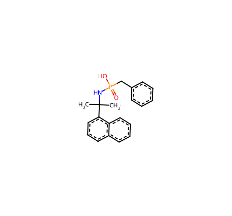 [CH2]C(C)(NP(=O)(O)Cc1ccccc1)c1cccc2ccccc12